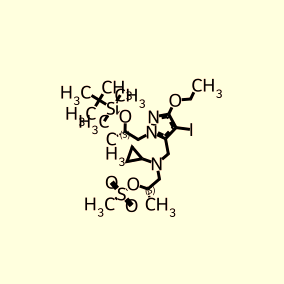 CCOc1nn(C[C@H](C)O[Si](C)(C)C(C)(C)C)c(CN(C[C@H](C)OS(C)(=O)=O)C2CC2)c1I